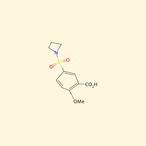 COc1ccc(S(=O)(=O)N2CCC2)cc1C(=O)O